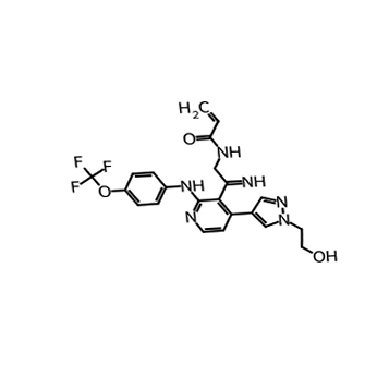 C=CC(=O)NCC(=N)c1c(-c2cnn(CCO)c2)ccnc1Nc1ccc(OC(F)(F)F)cc1